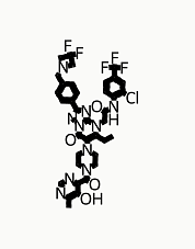 CCc1c(N2CCN(C(=O)c3ncnc(C)c3O)CC2)c(=O)n2nc(-c3ccc(CN4CC(F)(F)C4)cc3)nc2n1CC(=O)Nc1ccc(C(F)(F)F)cc1Cl